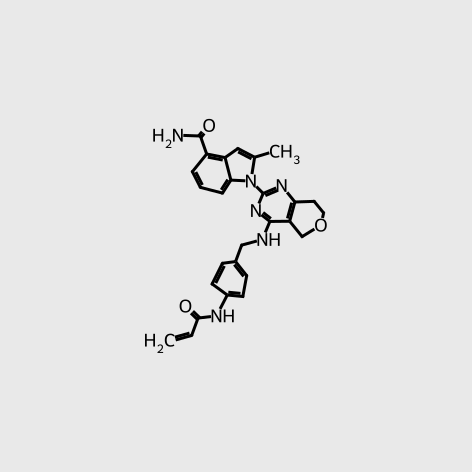 C=CC(=O)Nc1ccc(CNc2nc(-n3c(C)cc4c(C(N)=O)cccc43)nc3c2COCC3)cc1